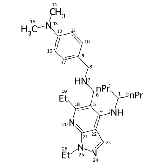 CCCC(CCC)Nc1c(CNCc2ccc(N(C)C)cc2)c(CC)nc2c1cnn2CC